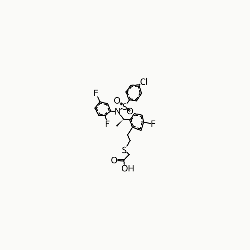 C[C@H](c1ccc(F)cc1CCSCC(=O)O)N(c1cc(F)ccc1F)S(=O)(=O)c1ccc(Cl)cc1